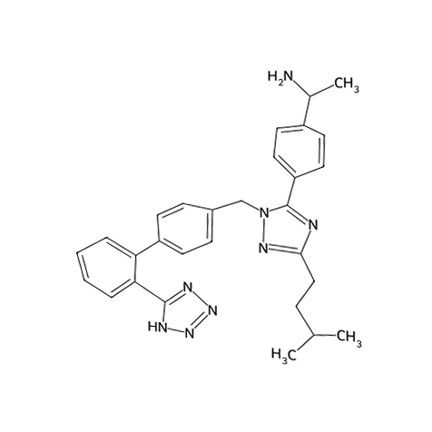 CC(C)CCc1nc(-c2ccc(C(C)N)cc2)n(Cc2ccc(-c3ccccc3-c3nnn[nH]3)cc2)n1